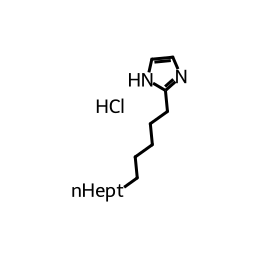 CCCCCCCCCCCCc1ncc[nH]1.Cl